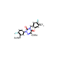 COc1nn(-c2ccc(F)c(NC(C)=O)c2)c(=O)n(Cc2ccc(C(F)(F)F)c(F)c2)c1=O